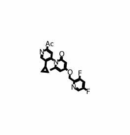 CC(=O)c1cc(-n2c(C)cc(OCc3ncc(F)cc3F)cc2=O)c(C2CC2)cn1